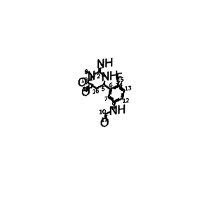 CN1C(=N)NC(c2cc(NC=O)ccc2F)CS1(=O)=O